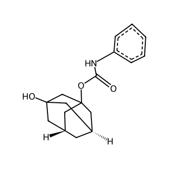 O=C(Nc1ccccc1)OC12C[C@@H]3C[C@@H](CC(O)(C3)C1)C2